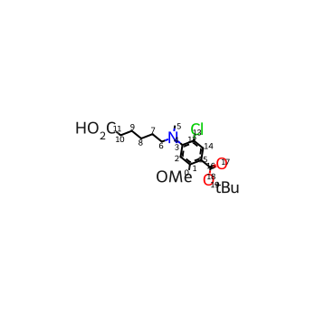 COc1cc(N(C)CCCCCC(=O)O)c(Cl)cc1C(=O)OC(C)(C)C